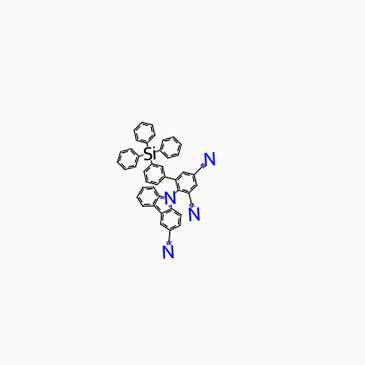 N#Cc1cc(C#N)c(-n2c3ccccc3c3cc(C#N)ccc32)c(-c2cccc([Si](c3ccccc3)(c3ccccc3)c3ccccc3)c2)c1